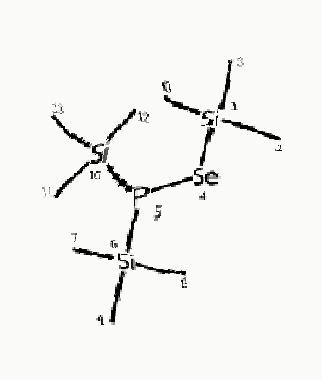 C[Si](C)(C)[Se]P([Si](C)(C)C)[Si](C)(C)C